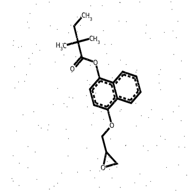 CCC(C)(C)C(=O)Oc1ccc(OCC2CO2)c2ccccc12